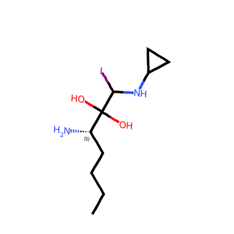 CCCC[C@H](N)C(O)(O)C(I)NC1CC1